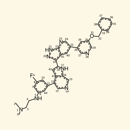 CN(C)CCNc1cc(F)cc(-c2cncc3[nH]c(-c4n[nH]c5ncc(-c6cncc(OCc7ccccc7)c6)cc45)cc23)c1